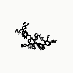 CO[C@@H]1[C@@H](n2cc(-c3ccc(Br)c(F)c3F)nn2)[C@@H](O)[C@@H](CO)O[C@@H]1Cc1cn(C2(C)CC(F)(F)C2)nn1